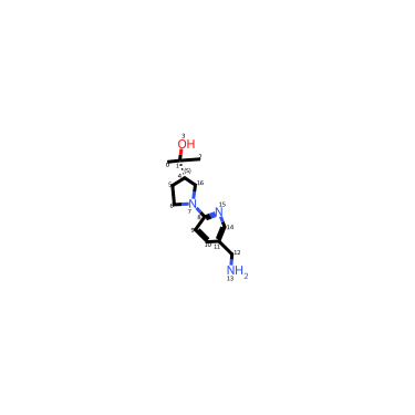 CC(C)(O)[C@H]1CCN(c2ccc(CN)cn2)C1